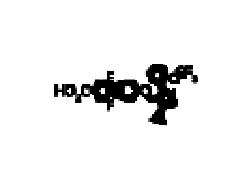 C[C@@H]1CC2CC(OCc3c(-c4ccccc4OC(F)(F)F)noc3C3CC3)CC1N2c1c(F)cc(C(=O)O)cc1F